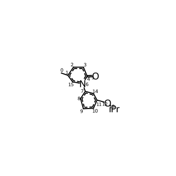 Cc1ccc(=O)n(-c2cccc(OC(C)C)c2)c1